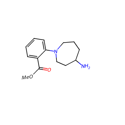 COC(=O)c1ccccc1N1CCCC(N)CC1